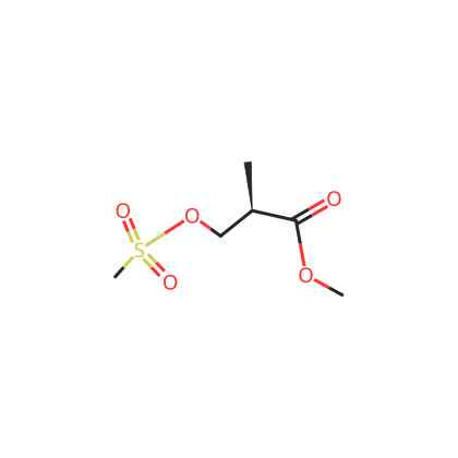 COC(=O)[C@H](C)COS(C)(=O)=O